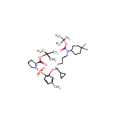 Cc1ccc(S(=O)(=O)N2CCC[C@H]2C(=O)OC(C)(C)C)c(O[C@H](CCCCN(C(=O)OC(C)(C)C)C2CCC(F)(F)CC2)C2CC2)c1